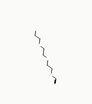 O=[C]NCCOCCOCCO